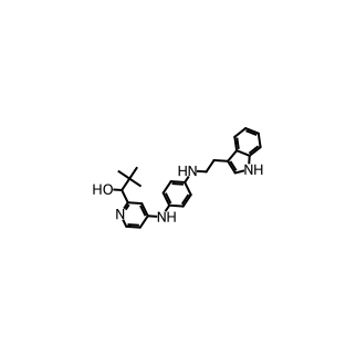 CC(C)(C)C(O)c1cc(Nc2ccc(NCCc3c[nH]c4ccccc34)cc2)ccn1